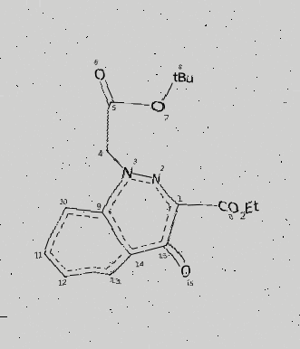 CCOC(=O)c1nn(CC(=O)OC(C)(C)C)c2ccccc2c1=O